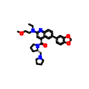 CCN(CCOC)c1cc(C(=O)N2CCC[C@H]2CN2CCCC2)c2cc(-c3ccc4c(c3)OCO4)ccc2n1